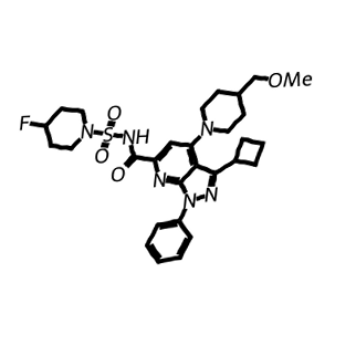 COCC1CCN(c2cc(C(=O)NS(=O)(=O)N3CCC(F)CC3)nc3c2c(C2CCC2)nn3-c2ccccc2)CC1